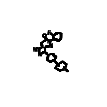 CN1CCN(c2ccc(-c3n[nH]c4cc(=O)n(-c5ccccc5F)nc34)cc2)CC1